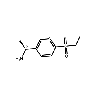 CCS(=O)(=O)c1ccc([C@H](C)N)cn1